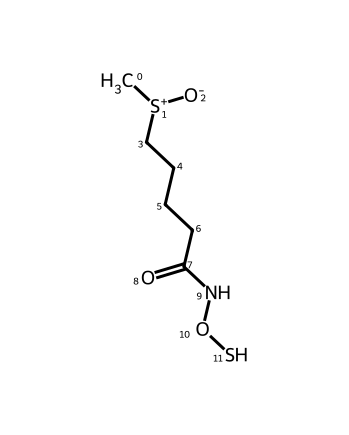 C[S+]([O-])CCCCC(=O)NOS